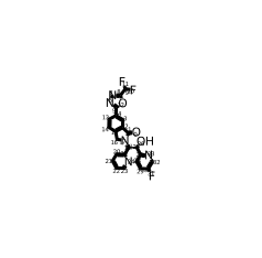 O=C1c2cc(-c3nnc(C(F)F)o3)ccc2CN1[C@H](c1ccccn1)C(O)c1ccc(F)cn1